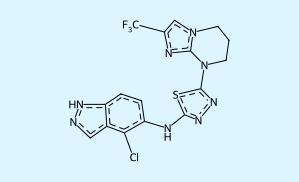 FC(F)(F)c1cn2c(n1)N(c1nnc(Nc3ccc4[nH]ncc4c3Cl)s1)CCC2